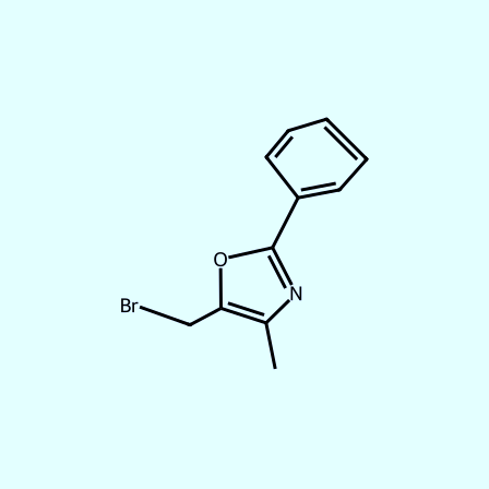 Cc1nc(-c2ccccc2)oc1CBr